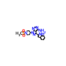 CS(=O)(=O)N1CCC(n2nc(-c3cc4ccccc4[nH]3)c3c(N)ncnc32)CC1